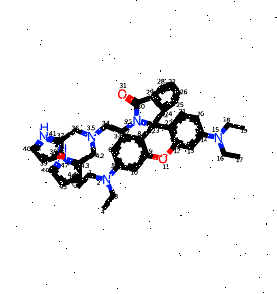 CCN(CC)c1ccc2c(c1)Oc1cc(N(CC)CC)ccc1C21c2ccccc2C(=O)N1CCN(Cc1ccc[nH]1)Cc1ccc[nH]1